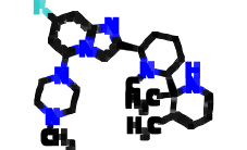 CC1=CC=CNC1(C)[C@@H]1CCC[C@H](c2cn3c(N4CCN(C)CC4)cc(F)cc3n2)N1C